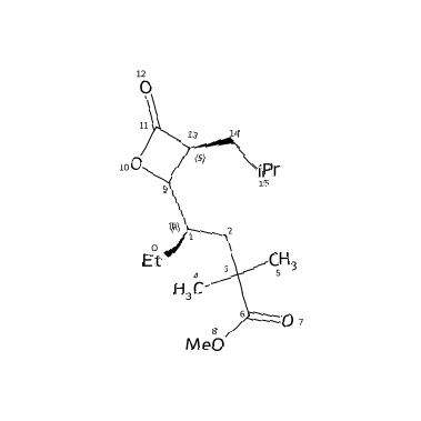 CC[C@H](CC(C)(C)C(=O)OC)C1OC(=O)[C@H]1CC(C)C